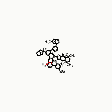 CCCCc1ccc(N2c3cc(C)cc4c3B(c3sc5cc6c(cc5c32)C(C)(C)CCC6(C)C)n2c3ccc(C56CC=C(CC(C)C5)C6)cc3c3cc(C5(CC)CC6CCC(C6)C5)cc-4c32)c(-c2ccccc2)c1